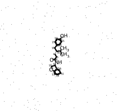 CN(C)[C@H](CCC(=O)NC1COc2ccccc21)Cc1ccc(O)cc1